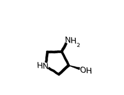 NC1CNC[C@@H]1O